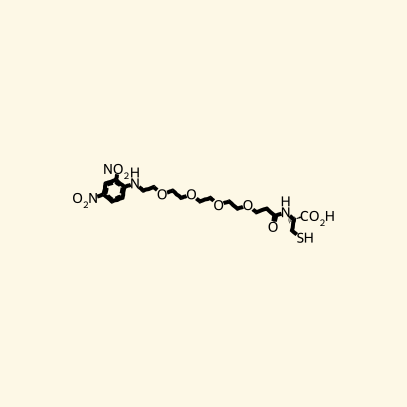 O=C(CCOCCOCCOCCOCCNc1ccc([N+](=O)[O-])cc1[N+](=O)[O-])N[C@@H](CS)C(=O)O